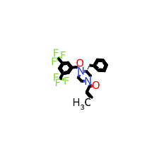 CC=CC(=O)N1CCN(C(=O)c2cc(C(F)(F)F)cc(C(F)(F)F)c2)[C@H](Cc2ccccc2)C1